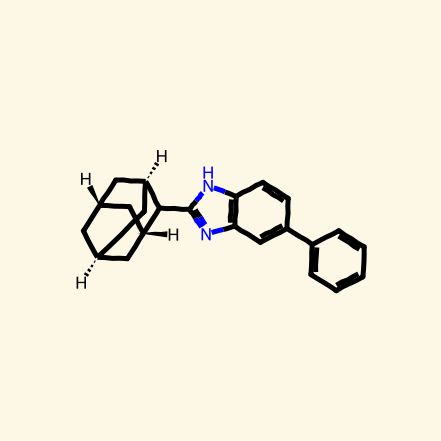 c1ccc(-c2ccc3[nH]c(C4[C@H]5C[C@@H]6C[C@@H](C[C@H]4C6)C5)nc3c2)cc1